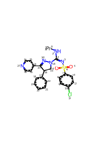 CC(C)NC(=NS(=O)(=O)c1ccc(Cl)cc1)N1CC(c2ccccc2)C(c2ccncc2)=N1